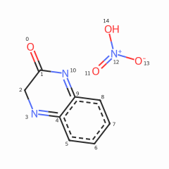 O=C1CN=c2ccccc2=N1.O=[N+]([O-])O